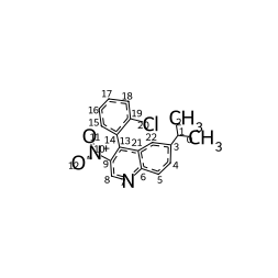 CC(C)c1ccc2ncc([N+](=O)[O-])c(-c3ccccc3Cl)c2c1